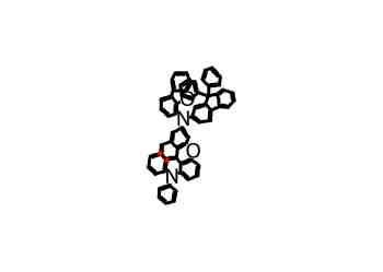 c1ccc(N(c2ccccc2)c2cccc3c2-c2cccc4cc(N(c5ccc6c(c5)C(c5ccccc5)(c5ccccc5)c5ccccc5-6)c5cccc6c5oc5ccccc56)cc(c24)O3)cc1